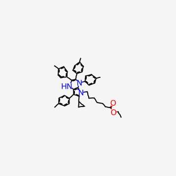 CCOC(=O)CCCCCCn1c(C2CC2)c(-c2ccc(C)cc2)c2c1N(c1ccc(C)cc1)C(c1ccc(C)cc1)=C(c1ccc(C)cc1)N2